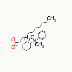 CCCCCCCCCCC(=O)[O-].C[N+](C)(c1ccccc1)C1CCCCC1